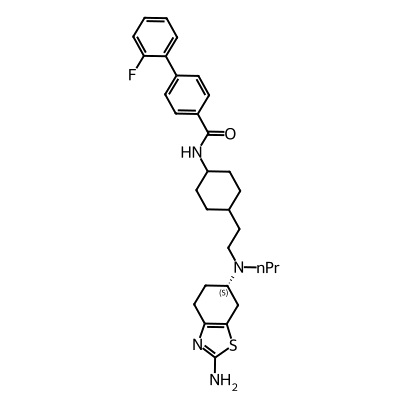 CCCN(CCC1CCC(NC(=O)c2ccc(-c3ccccc3F)cc2)CC1)[C@H]1CCc2nc(N)sc2C1